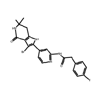 CC1(C)Cc2[nH]c(-c3ccnc(NC(=O)Cc4ccc(F)cc4)c3)c(Br)c2C(=O)N1